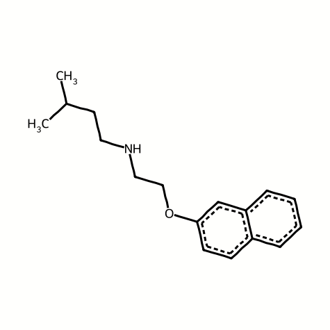 CC(C)CCNCCOc1ccc2ccccc2c1